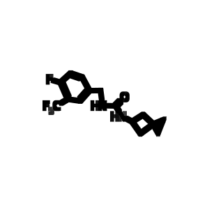 O=C(NCc1ccc(F)c(C(F)(F)F)c1)NC1CC2(CC2)C1